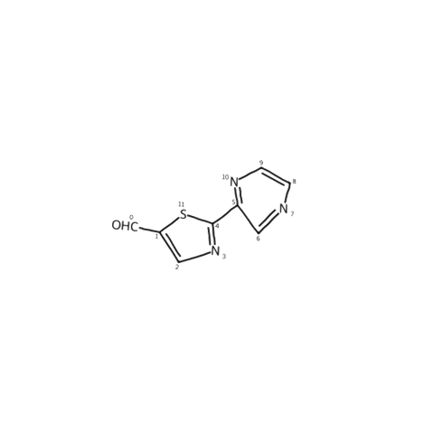 O=Cc1cnc(-c2cnccn2)s1